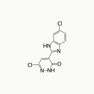 O=c1[nH]nc(Cl)cc1-c1nc2ccc(Cl)cc2[nH]1